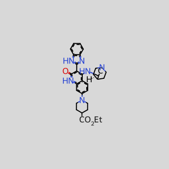 CCOC(=O)C1CCN(c2ccc3c(N[C@H]4CN5CCC4CC5)c(-c4nc5ccccc5[nH]4)c(=O)[nH]c3c2)CC1